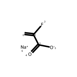 C=C(F)C(=O)[O-].[Na+]